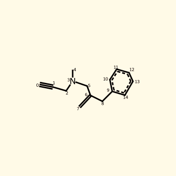 C#CCN(C)CC(=C)Cc1ccccc1